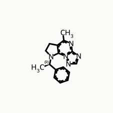 Cc1nc2ncnn2c2c1CCN2[C@H](C)c1ccccc1